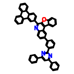 c1ccc(-c2cc(-c3ccccc3)nc(-c3cccc(-c4ccc5nc(-c6ccc7c8ccccc8c8ccccc8c7c6)c6oc7ccccc7c6c5c4)c3)n2)cc1